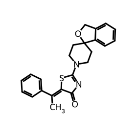 C/C(=C1/SC(N2CCC3(CC2)OCc2ccccc23)=NC1=O)c1ccccc1